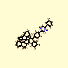 c1ccc(-c2cnc(-c3ccc(-c4cc5c(c6ccccc46)-c4ccc6ccccc6c4C54c5ccccc5-c5ccccc54)cc3)cn2)cc1